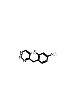 Sc1ccc(Cc2ccnnn2)c(S)c1